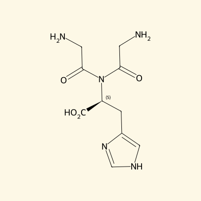 NCC(=O)N(C(=O)CN)[C@@H](Cc1c[nH]cn1)C(=O)O